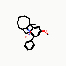 COc1cc(-c2ccccc2)c2c(c1)C1(C)CCCCCC(C2)/C1=N\O